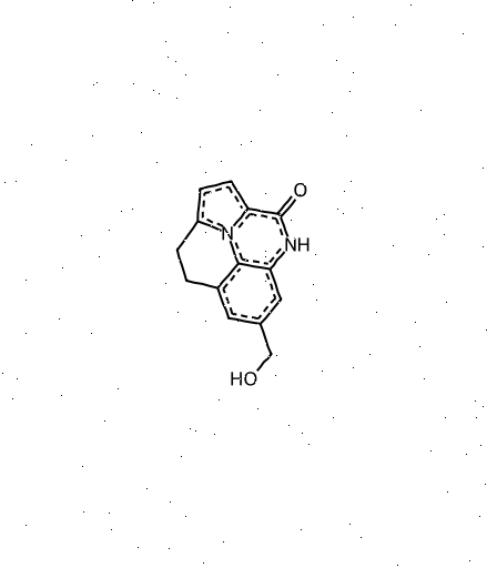 O=c1[nH]c2cc(CO)cc3c2n2c(ccc12)CC3